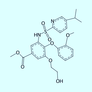 COC(=O)c1cc(NS(=O)(=O)c2ccc(C(C)C)cn2)c(Oc2ccccc2OC)c(OCCO)c1